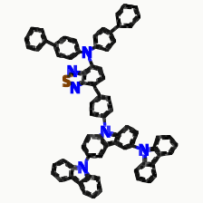 c1ccc(-c2ccc(N(c3ccc(-c4ccccc4)cc3)c3ccc(-c4ccc(-n5c6ccc(-n7c8ccccc8c8ccccc87)cc6c6cc(-n7c8ccccc8c8ccccc87)ccc65)cc4)c4nsnc34)cc2)cc1